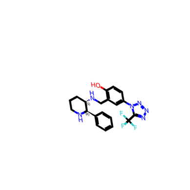 Oc1ccc(-n2nnnc2C(F)(F)F)cc1CN[C@H]1CCCN[C@@H]1c1ccccc1